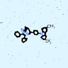 Cc1ccc2c(c1)c1cc(C)ccc1n2-c1ccc(-c2ccc3nc(-c4ccccc4)c(-c4ccccc4)n3c2)cc1